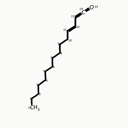 CCCCCCCCCCCC=CC=C=O